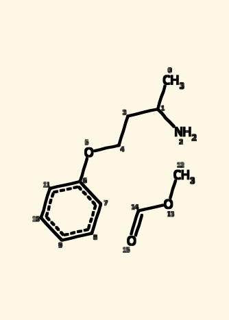 CC(N)CCOc1ccccc1.COC=O